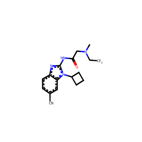 CN(CC(=O)Nc1nc2ccc(C#N)cc2n1C1CCC1)CC(F)(F)F